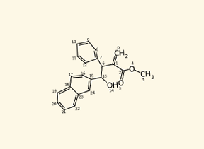 C=C(C(=O)OC)C(c1ccccc1)C(O)c1ccc2ccccc2c1